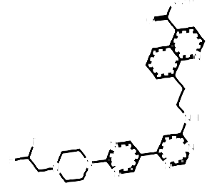 CNC(=O)c1ccnc2c(CCNc3cc(-c4cnc(N5CCN(CC(F)F)CC5)nc4)ncn3)cccc12